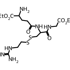 CCOC(=O)CNC(=O)C(CSSCCNC(=N)N)NC(=O)CCC(N)C(=O)OCC